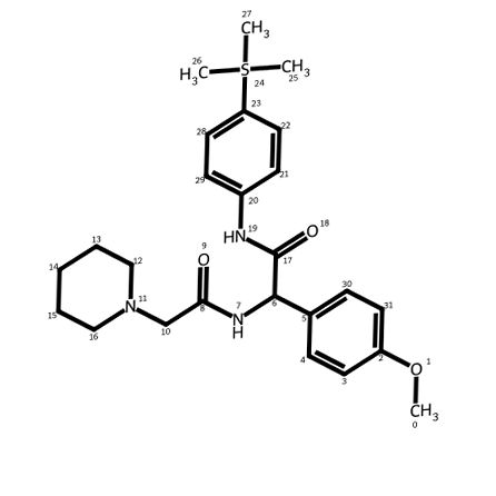 COc1ccc(C(NC(=O)CN2CCCCC2)C(=O)Nc2ccc(S(C)(C)C)cc2)cc1